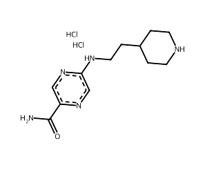 Cl.Cl.NC(=O)c1cnc(NCCC2CCNCC2)cn1